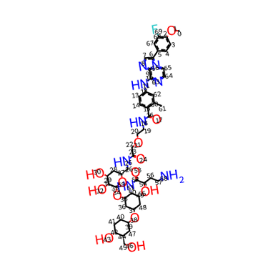 COc1ccc(-c2cnc3c(Nc4ccc(C(=O)NCCOCC(=O)NC[C@@H]5C[C@H](O)[C@H](O)[C@H](OC6C[C@@H](OC7CC[C@@H](O)[C@H](CO)C7)CC[C@H]6NC(=O)C(O)CCN)O5)c(C)c4)nccn23)cc1F